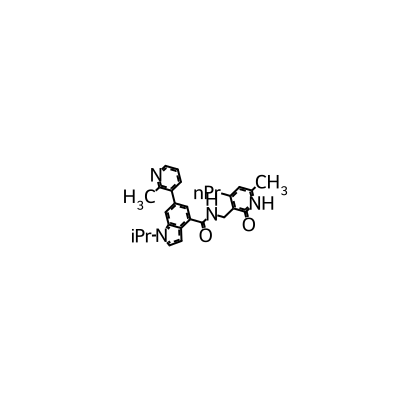 CCCc1cc(C)[nH]c(=O)c1CNC(=O)c1cc(-c2cccnc2C)cc2c1ccn2C(C)C